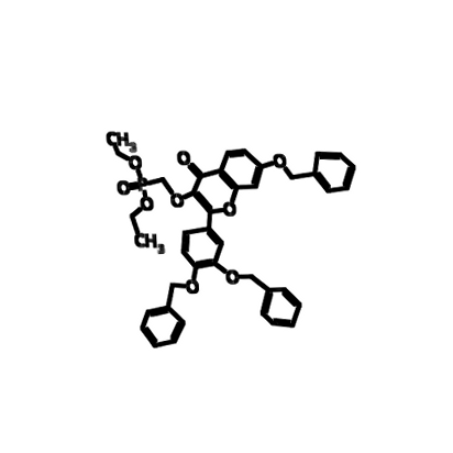 CCOP(=O)(COc1c(-c2ccc(OCc3ccccc3)c(OCc3ccccc3)c2)oc2cc(OCc3ccccc3)ccc2c1=O)OCC